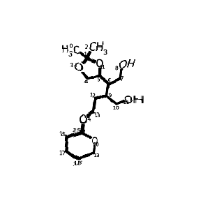 CC1(C)OCC(C(CO)C(CO)CCOC2CCCCO2)O1